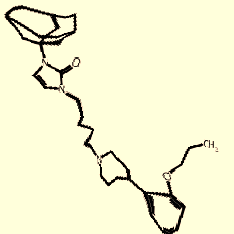 CCCOc1ccccc1C1CCN(CCCCn2ccn(C34CC5CC(CC(C5)C3)C4)c2=O)CC1